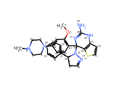 COc1cc(N2CCN(C)CC2)ccc1C1(N2N=CCC2c2ccccc2)N=C(N)Nc2ccsc21